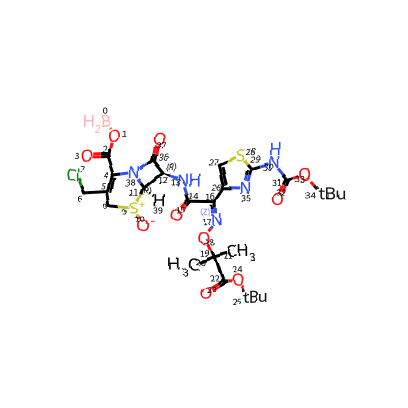 BOC(=O)C1=C(CCl)C[S+]([O-])[C@@H]2[C@H](NC(=O)/C(=N\OC(C)(C)C(=O)OC(C)(C)C)c3csc(NC(=O)OC(C)(C)C)n3)C(=O)N12